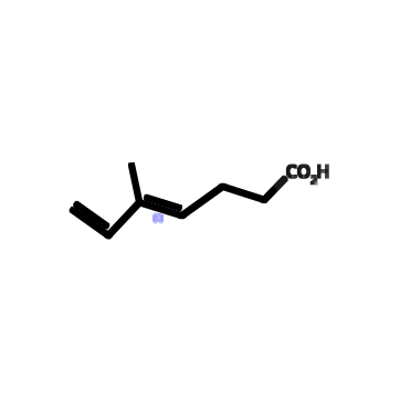 C=C/C(C)=C/CCC(=O)O